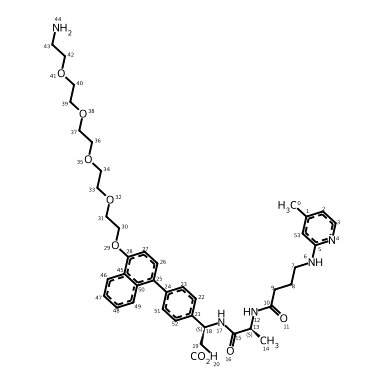 Cc1ccnc(NCCCC(=O)N[C@@H](C)C(=O)N[C@@H](CC(=O)O)c2ccc(-c3ccc(OCCOCCOCCOCCOCCN)c4ccccc34)cc2)c1